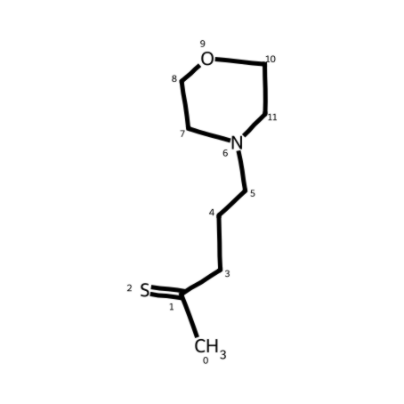 CC(=S)CCCN1CCOCC1